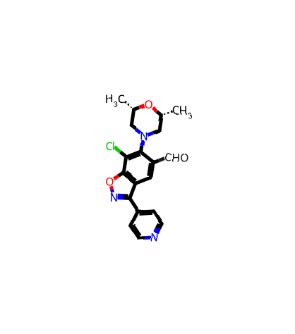 C[C@@H]1CN(c2c(C=O)cc3c(-c4ccncc4)noc3c2Cl)C[C@H](C)O1